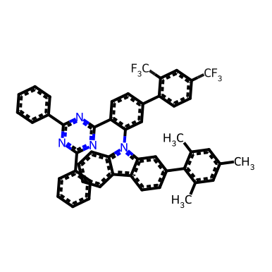 Cc1cc(C)c(-c2ccc3c4ccccc4n(-c4cc(-c5ccc(C(F)(F)F)cc5C(F)(F)F)ccc4-c4nc(-c5ccccc5)nc(-c5ccccc5)n4)c3c2)c(C)c1